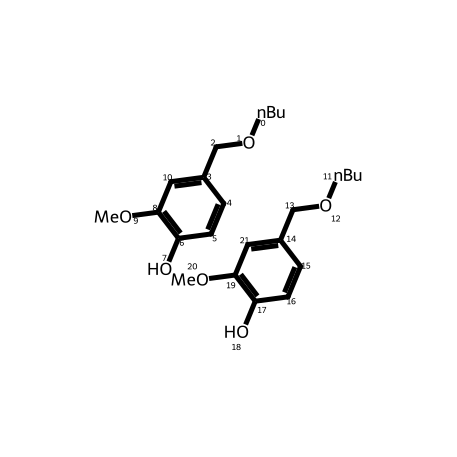 CCCCOCc1ccc(O)c(OC)c1.CCCCOCc1ccc(O)c(OC)c1